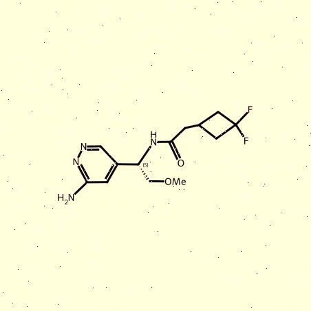 COC[C@@H](NC(=O)CC1CC(F)(F)C1)c1cnnc(N)c1